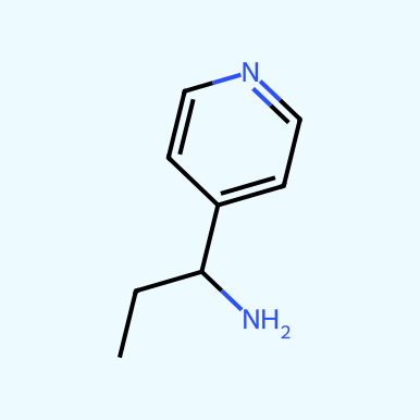 CCC(N)c1ccncc1